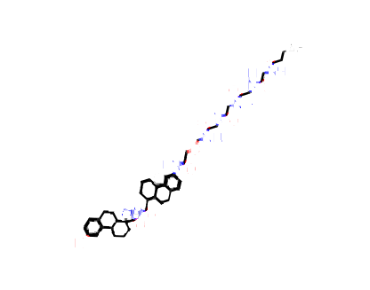 CC(=O)CCC(=O)NCC(=O)NCC(=O)NCC(=O)NCC(=O)NCOCC(=O)Nc1ccc2c(c1)C1(C)CCCC(C(=O)NC(=O)C3(C)CCCC4c5cc(O)ccc5CCC43)C1CC2